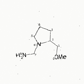 COCC1CCCN1CN